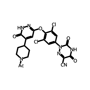 CC(=O)N1CCC(c2cc(Oc3c(Cl)cc(-n4nc(C#N)c(=O)[nH]c4=O)cc3Cl)n[nH]c2=O)CC1